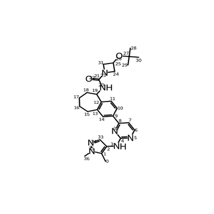 Cc1c(Nc2nccc(-c3ccc4c(c3)CCCCC4NC(=O)N3CC(OC(C)(C)C)C3)n2)cnn1C